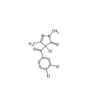 CC1=NN(C)C(=O)C1(Cl)C(=O)c1ccc(Cl)c(Cl)c1